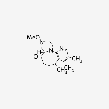 CON1CCN2c3ncc(C)c(C)c3C(C)CCC(=O)[C@@H]2C1